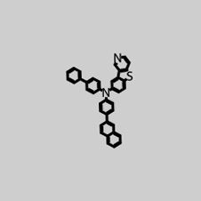 c1ccc(-c2ccc(N(c3ccc(-c4ccc5ccccc5c4)cc3)c3ccc4sc5ccncc5c4c3)cc2)cc1